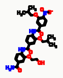 CC(C)COc1cc(C(=O)Nc2ccc(C(N)=O)cc2OCCO)ccc1NC(=O)c1ccc([N+](=O)[O-])c(OCC(C)C)c1